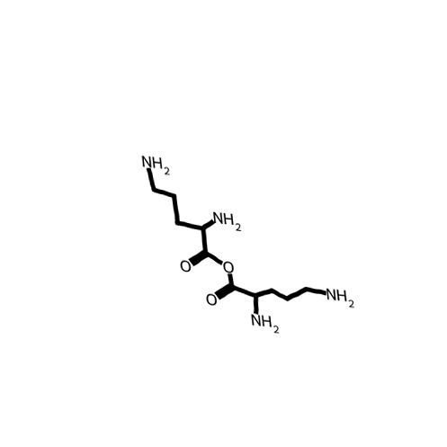 NCCCC(N)C(=O)OC(=O)C(N)CCCN